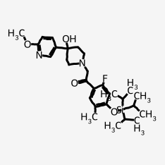 COc1ccc(C2(O)CCN(CC(=O)c3cc(C)c(O[Si](C(C)C)(C(C)C)C(C)C)cc3F)CC2)cn1